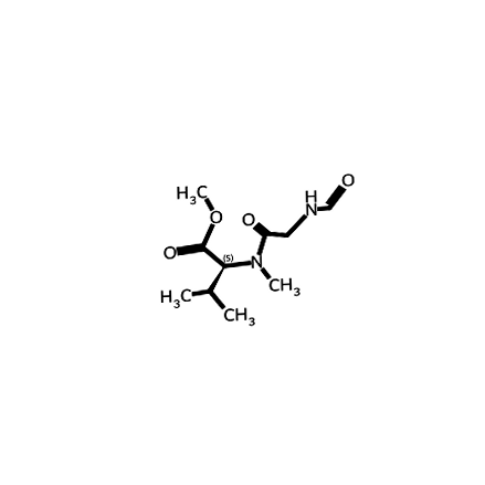 COC(=O)[C@H](C(C)C)N(C)C(=O)CNC=O